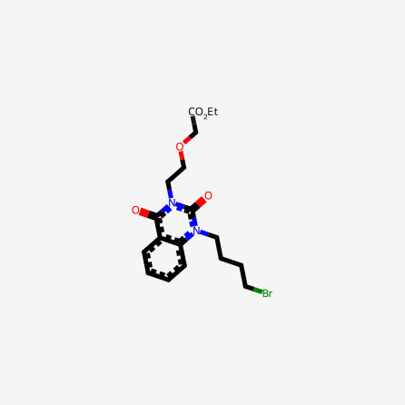 CCOC(=O)COCCn1c(=O)c2ccccc2n(CCCCBr)c1=O